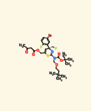 CC(=O)CC(=O)OCC1=C[C@@](CF)(c2cc(Br)ccc2F)N=C(N(COCC[Si](C)(C)C)C(=O)OC(C)(C)C)S1